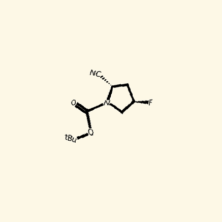 CC(C)(C)OC(=O)N1C[C@H](F)C[C@H]1C#N